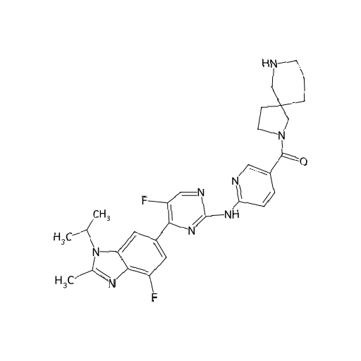 Cc1nc2c(F)cc(-c3nc(Nc4ccc(C(=O)N5CCC6(CCCNC6)C5)cn4)ncc3F)cc2n1C(C)C